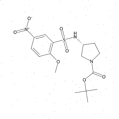 COc1ccc([N+](=O)[O-])cc1S(=O)(=O)N[C@@H]1CCN(C(=O)OC(C)(C)C)C1